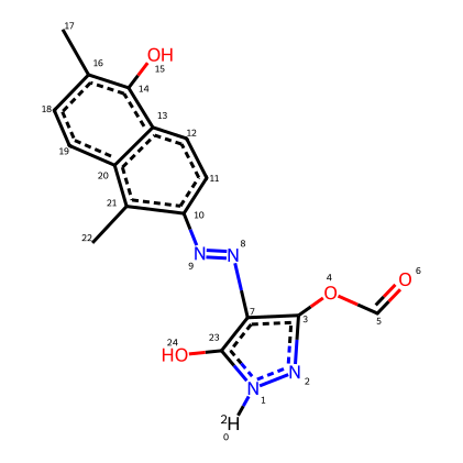 [2H]n1nc(OC=O)c(N=Nc2ccc3c(O)c(C)ccc3c2C)c1O